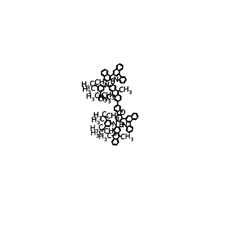 Cc1c2ccc(-c3ccc4c(c3)oc3c5c6c(cc34)N(c3cc(C(C)(C)C)cc(C(C)(C)C)c3)c3cc4c(C)c7ccccc7c(C)c4cc3B6n3c4ccccc4c4c6ccccc6cc-5c43)cc2c(C)c2cc3c(cc12)B1c2c(cc4ccccc4c2-c2cc4ccccc4c4c5ccccc5n1c24)N3c1cc(C(C)(C)C)cc(C(C)(C)C)c1